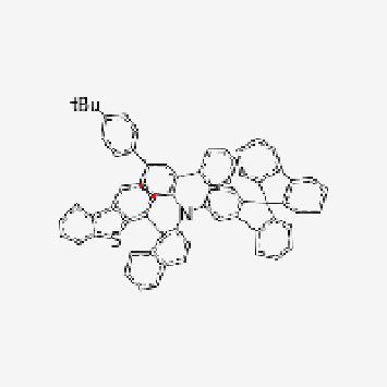 CC(C)(C)c1ccc(-c2ccc(N(c3ccc4c(c3)-c3ccccc3C43c4ccccc4-c4ccccc43)c3ccc4ccccc4c3-c3cccc4c3sc3ccccc34)c(-c3ccccc3)c2)cc1